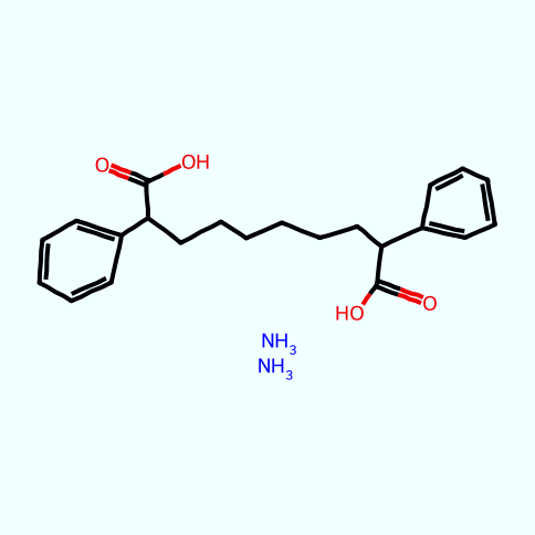 N.N.O=C(O)C(CCCCCCC(C(=O)O)c1ccccc1)c1ccccc1